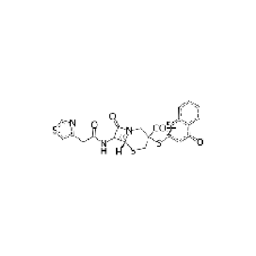 O=C(Cc1cscn1)NC1C(=O)N2CC(Sc3cc(=O)c4ccccc4s3)(C(=O)O)CS[C@H]12